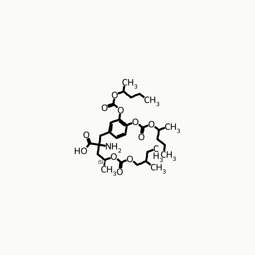 CCCC(C)OC(=O)Oc1ccc(CC(N)(C[C@H](C)OC(=O)OCC(C)CC)C(=O)O)cc1OC(=O)OC(C)CCC